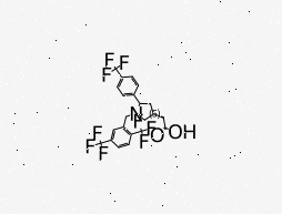 O=C(O)C[C@@H]1CC(c2ccc(C(F)(F)F)cc2)N(Cc2cc(C(F)(F)F)ccc2C(F)(F)F)C1